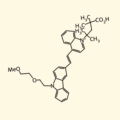 COCCOCCn1c2ccccc2c2cc(/C=C/c3cc[n+](C(C)(C)CC(C)(C)C(=O)O)c4ccccc34)ccc21